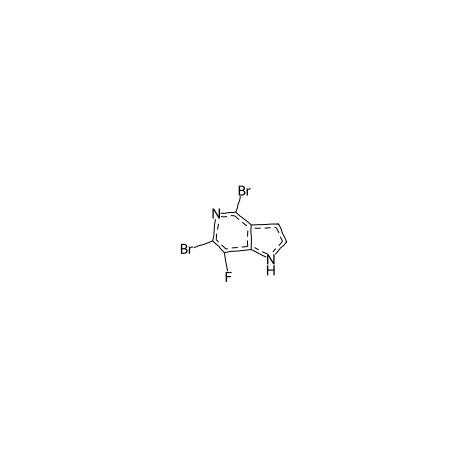 Fc1c(Br)nc(Br)c2cc[nH]c12